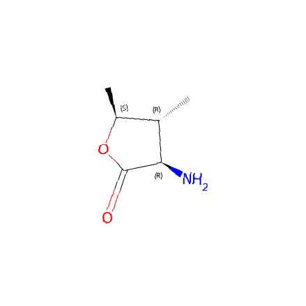 C[C@H]1[C@H](C)OC(=O)[C@@H]1N